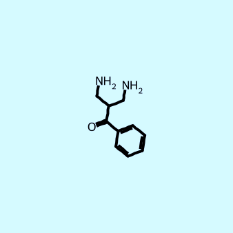 NCC(CN)C(=O)c1ccccc1